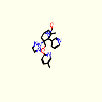 Cc1ccc(OCC2(n3nccn3)CC3CC(C)C2(c2cccnc2)N3C=O)nc1